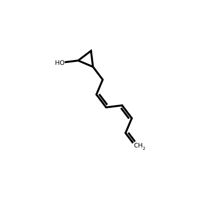 C=C/C=C\C=C/CC1CC1O